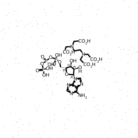 Nc1ncnc2c1ncn2[C@@H]1O[C@H](COP(=O)(O)OP(=O)(O)OP(=O)(O)O)[C@@H](O)[C@H]1O.O=C(O)CN(CCN(CC(=O)O)CC(=O)O)CC(=O)O